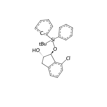 CC(C)(C)[Si](O[C@H]1c2c(Cl)cccc2C[C@@H]1O)(c1ccccc1)c1ccccc1